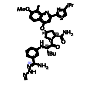 C=NN/N=C(\N)c1cccc(N[C@H](C(=O)N2C[C@H](Oc3cc(-c4nc(C(C)C)cs4)nc4c(C)c(OC)ccc34)C[C@H]2C(N)=O)C(C)(C)C)c1